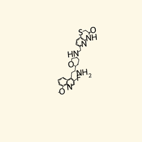 COc1cccc2c(C[C@@H](N)[C@@H]3CC[C@@H](NCc4ccc5c(n4)NC(=O)CS5)CO3)c(F)cnc12